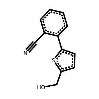 N#Cc1ccccc1-c1ccc(CO)s1